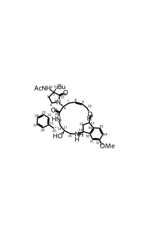 CC[C@H](C)[C@@]1(NC(C)=O)CCN([C@H]2CC=CCO[C@@H]3C[C@H](NC[C@@H](O)[C@H](Cc4ccccc4)NC2=O)c2cc(OC)ccc23)C1=O